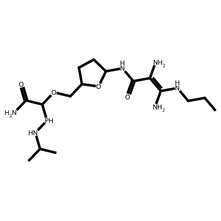 CCCN/C(N)=C(\N)C(=O)NC1CCC(COC(PNC(C)C)C(N)=O)O1